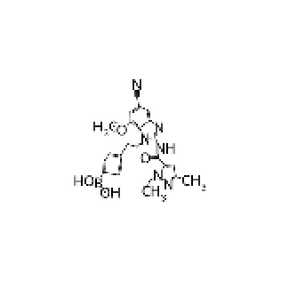 CCn1nc(C)cc1C(=O)Nc1nc2cc(C#N)cc(OC)c2n1CCc1ccc(B(O)O)cc1